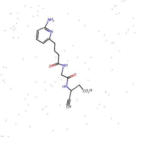 C#CC(CC(=O)O)NC(=O)CNC(=O)CCCc1cccc(N)n1